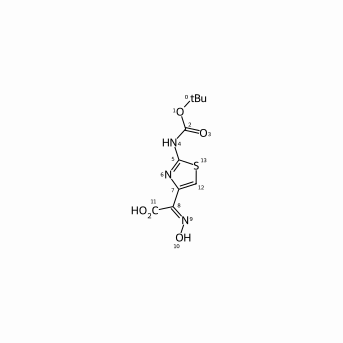 CC(C)(C)OC(=O)Nc1nc(/C(=N/O)C(=O)O)cs1